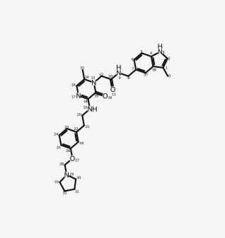 Cc1c[nH]c2ccc(CNC(=O)Cn3c(C)cnc(NCCc4cccc(OCN5CCCC5)c4)c3=O)cc12